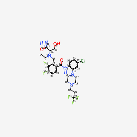 CCN(Cc1c(C(=O)Nc2ccc(Cl)cc2N2CCN(CCC(F)(F)F)CC2)ccc(F)c1F)C(CO)C(N)=O